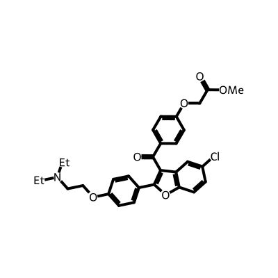 CCN(CC)CCOc1ccc(-c2oc3ccc(Cl)cc3c2C(=O)c2ccc(OCC(=O)OC)cc2)cc1